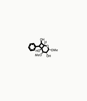 CO[C@H]1O[C@@H]2C(O)C(c3ccccc3)[C@@]2(O)[C@H](OC)[C@H]1O